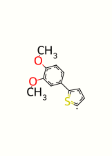 COc1ccc(-c2cc[c]s2)cc1OC